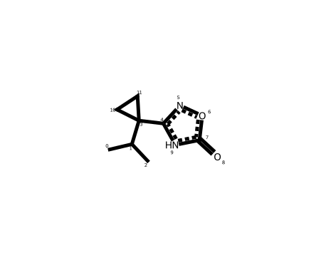 CC(C)C1(c2noc(=O)[nH]2)CC1